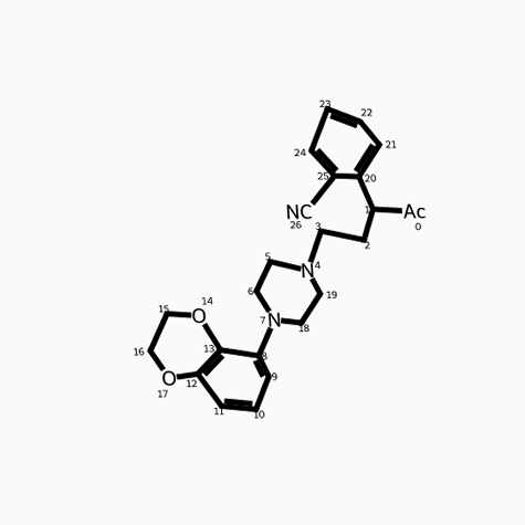 CC(=O)C(CCN1CCN(c2cccc3c2OCCO3)CC1)c1ccccc1C#N